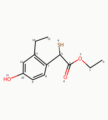 CCOC(=O)C(S)c1ccc(O)cc1CC